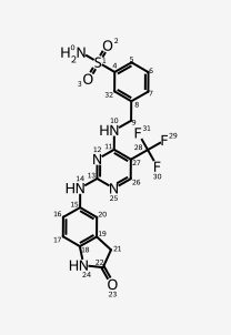 NS(=O)(=O)c1cccc(CNc2nc(Nc3ccc4c(c3)CC(=O)N4)ncc2C(F)(F)F)c1